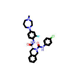 CN1CCCN(c2ccc(NC(=O)[C@H]3Cc4ccccc4CN3C(=O)Nc3ccc(Cl)cc3)c(F)c2)CC1